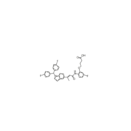 CC(=CC(=O)Nc1ccc(F)cc1OCCCC(=O)O)c1ccc2c(ccn2C(c2ccc(F)cc2)c2ccc(F)cc2)c1